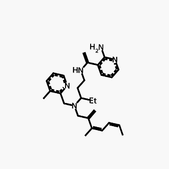 C=C(CN(Cc1ncccc1C)C(CC)CCNC(=C)c1cccnc1N)/C(C)=C\C=C/C